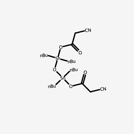 CCC[CH2][Sn]([CH2]CCC)([O]C(=O)CC#N)[O][Sn]([CH2]CCC)([CH2]CCC)[O]C(=O)CC#N